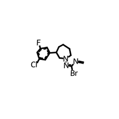 C=N/C(Br)=N\N1CCCCC(c2cc(F)cc(Cl)c2)C1